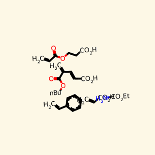 C=C(C=CC(=O)O)C(=O)OCCCC.C=CC(=O)O.C=CC(=O)OCCC(=O)O.C=Cc1ccccc1.CCOC(N)=O